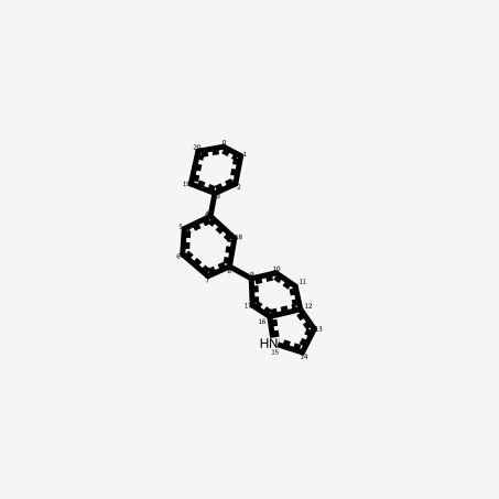 c1ccc(-c2cccc(-c3ccc4cc[nH]c4c3)c2)cc1